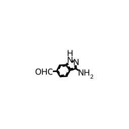 Nc1n[nH]c2cc(C=O)ccc12